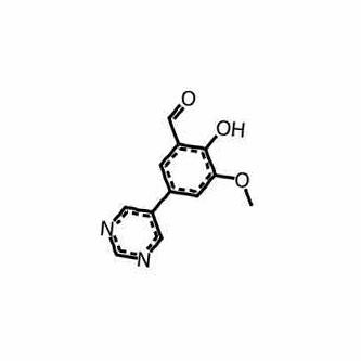 COc1cc(-c2cncnc2)cc(C=O)c1O